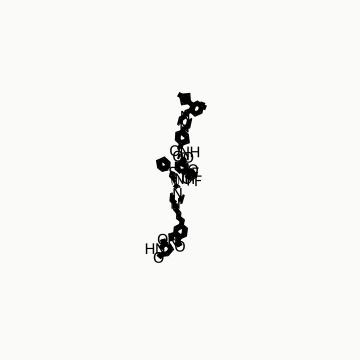 CC1(C)CCC(CN2CCN(c3ccc(C(=O)NS(=O)(=O)c4ccc(N[C@H](CCN5CCN(CCCCc6ccc7c(c6)CN(C6CCC(=O)NC6=O)C7=O)CC5)CSc5ccccc5)c(S(=O)(=O)C(F)(F)F)c4)cc3)CC2)=C(C23CC(C)(C2)C3)C1